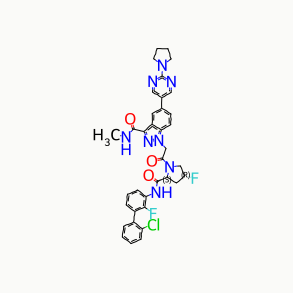 CNC(=O)c1nn(CC(=O)N2C[C@H](F)C[C@H]2C(=O)Nc2cccc(-c3ccccc3Cl)c2F)c2ccc(-c3cnc(N4CCCC4)nc3)cc12